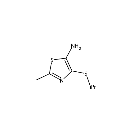 Cc1nc(SC(C)C)c(N)s1